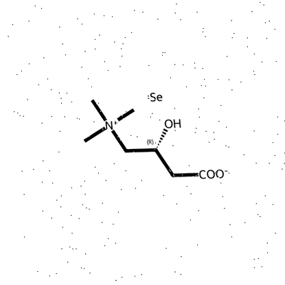 C[N+](C)(C)C[C@H](O)CC(=O)[O-].[Se]